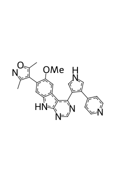 COc1cc2c(cc1-c1c(C)noc1C)[nH]c1ncnc(-c3c[nH]cc3-c3ccncc3)c12